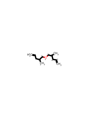 C=CCC(C)COCC(C)CC=C